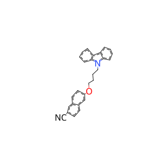 N#Cc1ccc2cc(OCCCCn3c4ccccc4c4ccccc43)ccc2c1